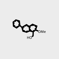 COc1ccc2cc(-c3ccccc3)ccc2c1CO